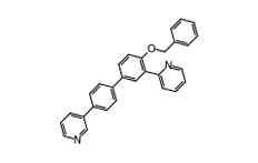 c1ccc(COc2ccc(-c3ccc(-c4cccnc4)cc3)cc2-c2ccccn2)cc1